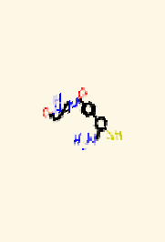 NCc1cc(-c2ccc(C(=O)N3CC4(CCC(=O)N4)C3)cc2)ccc1S